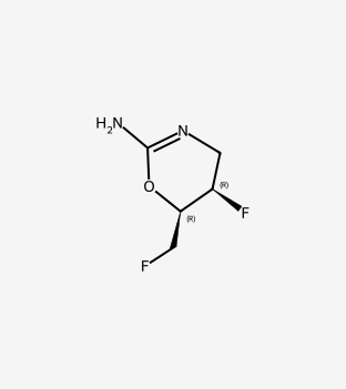 NC1=NC[C@@H](F)[C@@H](CF)O1